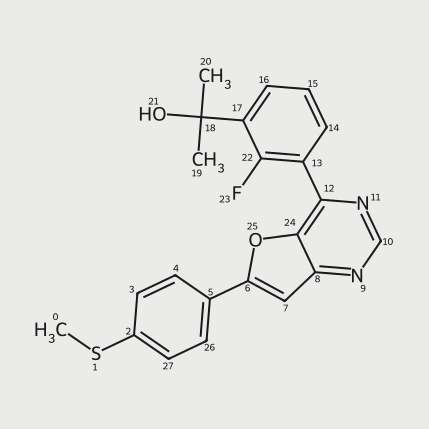 CSc1ccc(-c2cc3ncnc(-c4cccc(C(C)(C)O)c4F)c3o2)cc1